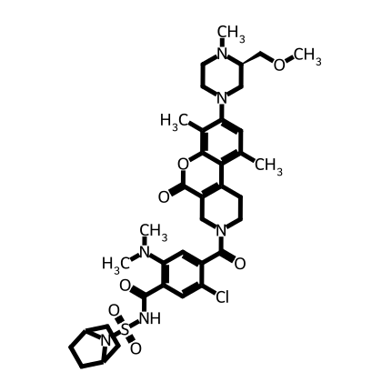 COC[C@H]1CN(c2cc(C)c3c4c(c(=O)oc3c2C)CN(C(=O)c2cc(N(C)C)c(C(=O)NS(=O)(=O)N3C5CCC3CC5)cc2Cl)CC4)CCN1C